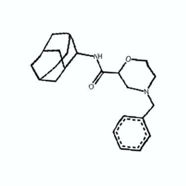 O=C(NC1C2CC3CC(C2)CC1C3)C1CN(Cc2ccccc2)CCO1